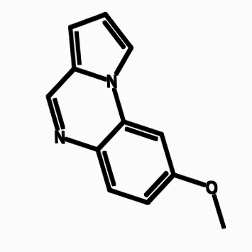 COc1ccc2ncc3cccn3c2c1